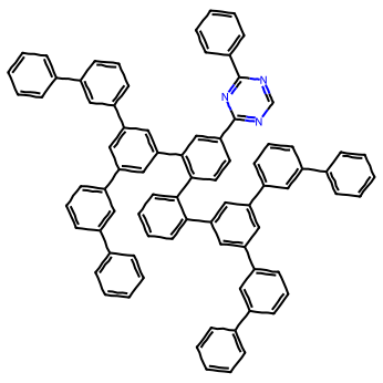 c1ccc(-c2cccc(-c3cc(-c4cccc(-c5ccccc5)c4)cc(-c4ccccc4-c4ccc(-c5ncnc(-c6ccccc6)n5)cc4-c4cc(-c5cccc(-c6ccccc6)c5)cc(-c5cccc(-c6ccccc6)c5)c4)c3)c2)cc1